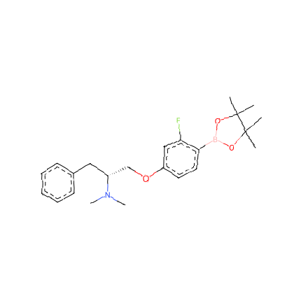 CN(C)[C@@H](COc1ccc(B2OC(C)(C)C(C)(C)O2)c(F)c1)Cc1ccccc1